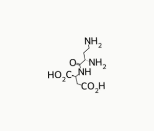 NCC[C@H](N)C(=O)N[C@@H](CC(=O)O)C(=O)O